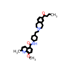 CCCC(=O)c1ccc2c(c1)CCN(CCC1CCC(NC(=O)c3ccc(OC)c4nc(C)ccc34)CC1)CC2